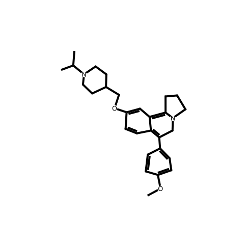 COc1ccc(C2=c3ccc(OCC4CCN(C(C)C)CC4)cc3=C3CCCN3C2)cc1